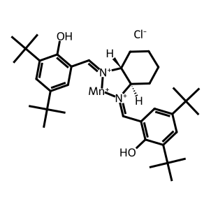 CC(C)(C)c1cc(C=[N+]2[Mn+][N+](=Cc3cc(C(C)(C)C)cc(C(C)(C)C)c3O)[C@@H]3CCCC[C@H]32)c(O)c(C(C)(C)C)c1.[Cl-]